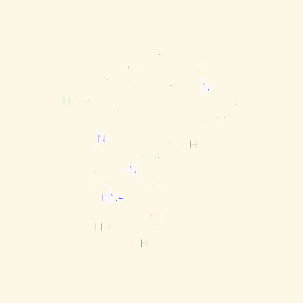 CCCCN1C(=O)[C@@H]([C@H](O)C(C)C)NC(=O)C12CCN(Cc1ccc(Oc3ccc(C(=O)N4CCOCC4)cc3)cc1)CC2.Cl